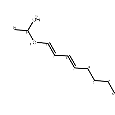 CCCC/C=C/C=C/OC(C)O